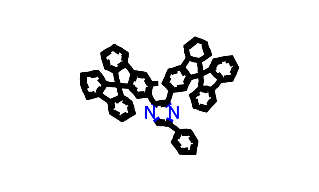 Cc1cc2c(cc1-c1ncc(-c3ccccc3)nc1-c1ccc3c(c1)C1(c4ccccc4-c4ccccc41)C1C=CC=CC31)C1(c3ccccc3-c3ccccc31)c1ccccc1-2